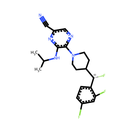 CC(C)Nc1nc(C#N)cnc1N1CCC([C@H](F)c2ccc(F)cc2F)CC1